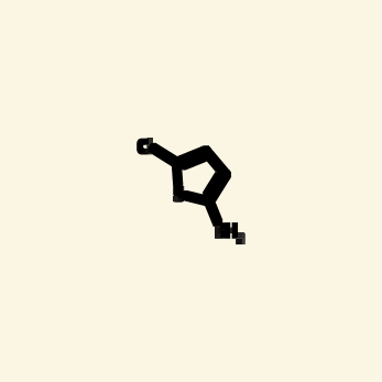 Bc1ccc(Cl)s1